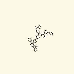 CC1(C)c2ccccc2-c2cc(N(c3ccc(-c4ccc5c(c4)c4ccccc4c4ccc6c(c45)C(C)(C)c4ccccc4-6)cc3)c3cccc(-c4cccc(-c5ccccc5)c4)c3)ccc21